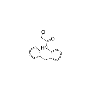 O=C(CCl)Nc1ccccc1Cc1ccccc1